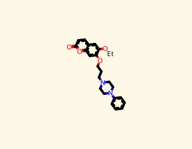 CCOc1cc2ccc(=O)oc2cc1OCCCN1CCN(c2ccccc2)CC1